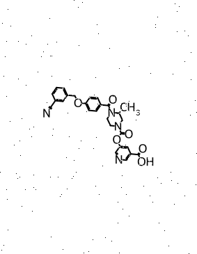 CC1CN(C(=O)Oc2cncc(C(=O)O)c2)CCN1C(=O)c1ccc(OCc2cccc(C#N)c2)cc1